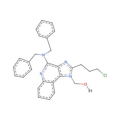 CCOCn1c(CCCCl)nc2c(N(Cc3ccccc3)Cc3ccccc3)nc3ccccc3c21